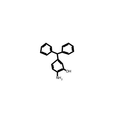 Nc1ccc(C(c2ccccc2)c2ccccc2)cc1O